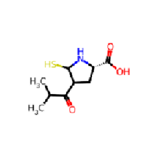 CC(C)C(=O)C1C[C@@H](C(=O)O)NC1S